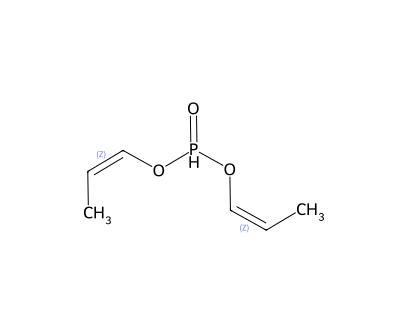 C/C=C\O[PH](=O)O/C=C\C